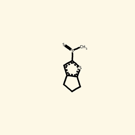 CS(=S)c1cc2c(s1)CCC2